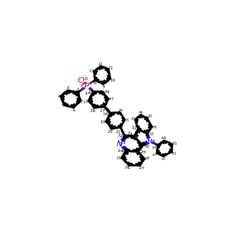 O=P(c1ccccc1)(c1ccccc1)c1ccc(-c2ccc(-c3nc4ccccc4c4c3c3ccccc3n4-c3ccccc3)cc2)cc1